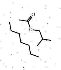 CC(=O)OCC(C)C.CCCCCCC